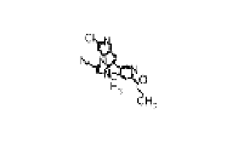 CCCC(=O)c1cc(C)c(-c2cc3cnc(Cl)cc3n3c(C#N)cnc23)cn1